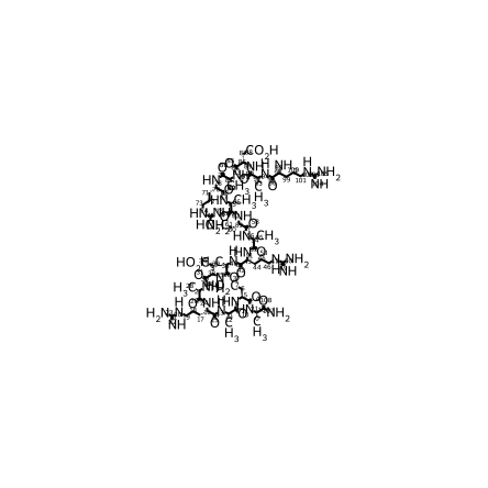 C[C@H](NC(=O)[C@H](CC(=O)O)NC(=O)[C@H](C)NC(=O)[C@H](CCCNC(=N)N)NC(=O)[C@H](C)NC(=O)[C@H](CC(=O)O)NC(=O)[C@H](C)NC(=O)[C@H](CCCNC(=N)N)NC(=O)[C@H](C)NC(=O)[C@H](CC(=O)O)NC(=O)[C@H](C)NC(=O)[C@H](CCCNC(=N)N)NC(=O)[C@H](C)NC(=O)[C@H](CC(=O)O)NC(=O)[C@H](C)NC(=O)[C@@H](N)CCCNC(=N)N)C(N)=O